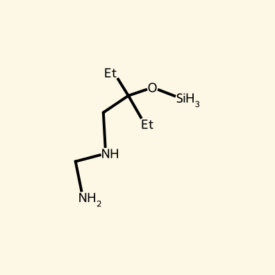 CCC(CC)(CNCN)O[SiH3]